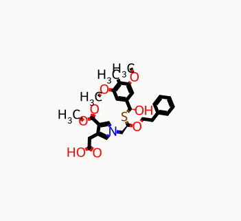 COC(=O)c1cn(C[C@H](OCCc2ccccc2)S[C@@H](O)c2cc(OC)c(C)c(OC)c2)cc1CC(=O)O